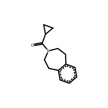 O=C(C1CC1)N1CCc2ccccc2CC1